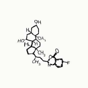 C[C@H](CCc1nc2ccc(F)cc2c(=O)o1)[C@H]1CC[C@H]2[C@H]3C(CC[C@]12C)[C@@]1(C)CC[C@@H](O)C[C@H]1C[C@H]3O